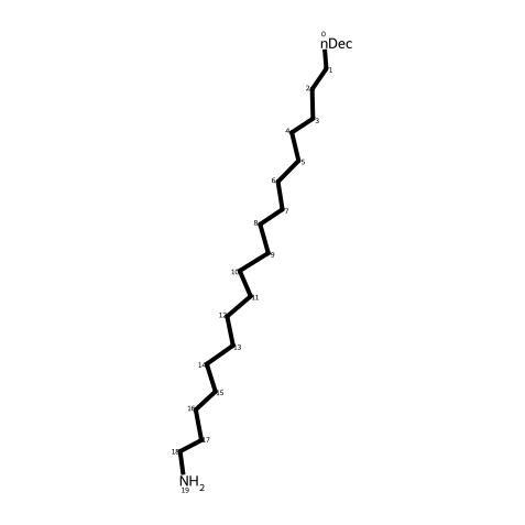 [CH2]CCCCCCCCCCCCCCCCCCCCCCCCCCCN